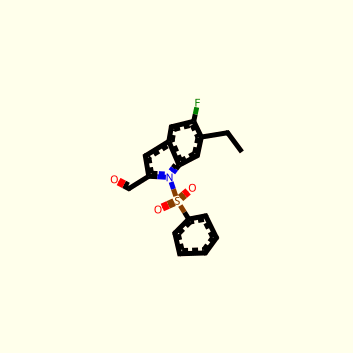 CCc1cc2c(cc1F)cc(C=O)n2S(=O)(=O)c1ccccc1